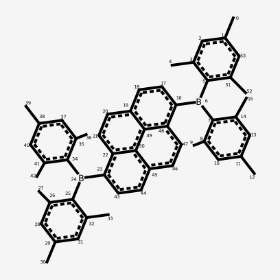 Cc1cc(C)c(B(c2c(C)cc(C)cc2C)c2ccc3ccc4c(B(c5c(C)cc(C)cc5C)c5c(C)cc(C)cc5C)ccc5ccc2c3c54)c(C)c1